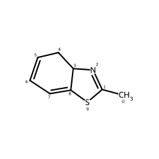 CC1=NC2CC=CC=C2S1